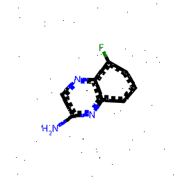 Nc1cnc2c(F)cccc2n1